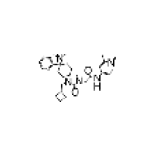 C=N/C(C)=C\C(=C/C)NC(=O)CN1C[C@]2(CC[C@](c3ccccc3)(N(C)C)CC2)N(CC2CCC2)C1=O